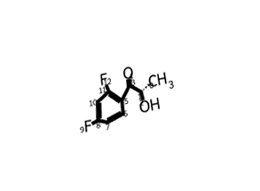 C[C@H](O)C(=O)c1ccc(F)cc1F